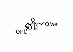 COCCCNC(=O)c1ccc(C=O)o1